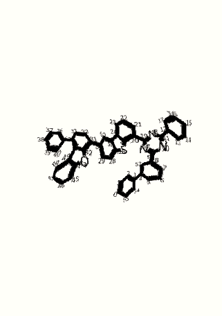 c1ccc(-c2cccc(-c3nc(-c4ccccc4)nc(-c4cccc5c4sc4ccc(-c6ccc(-c7ccccc7)c7c6oc6ccccc67)cc45)n3)c2)cc1